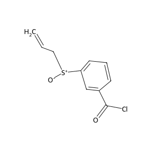 C=CC[S+]([O-])c1cccc(C(=O)Cl)c1